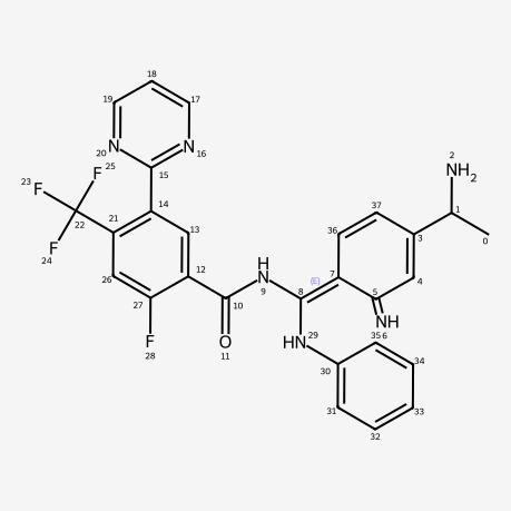 CC(N)C1=CC(=N)/C(=C(/NC(=O)c2cc(-c3ncccn3)c(C(F)(F)F)cc2F)Nc2ccccc2)C=C1